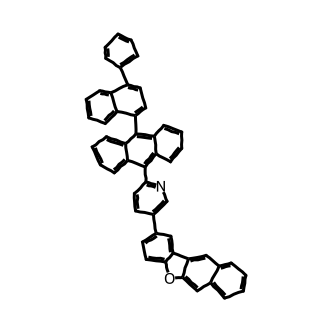 c1ccc(-c2ccc(-c3c4ccccc4c(-c4ccc(-c5ccc6oc7cc8ccccc8cc7c6c5)cn4)c4ccccc34)c3ccccc23)cc1